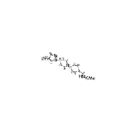 CSNC[C@H]1CC[C@@H](N2CCC(n3cc(C(C)C)cn3)CC2)CC1